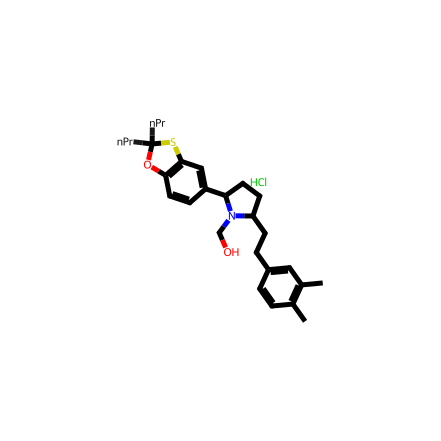 CCCC1(CCC)Oc2ccc(C3CCC(CCc4ccc(C)c(C)c4)N3CO)cc2S1.Cl